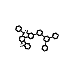 c1ccc(-c2cc(-c3ccccc3)cc(-c3cccc(-c4ccc5c(c4)nc(-c4ccccc4)c4ccc6sc7ccccc7c6c45)c3)c2)cc1